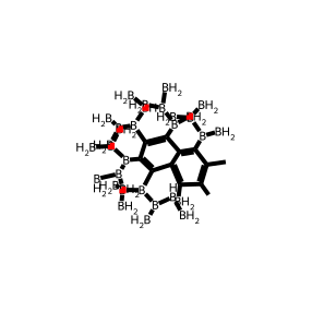 BBB(B)B(B(B)B)c1c(B(B(B)B)B(B)B)c(B(BB)B(B)B)c(B(B)B(B)B)c2c(B(B)B(B)B)c(C)c(C)c(B)c12